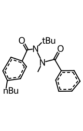 CCCCc1ccc(C(=O)N(N(C)C(=O)c2ccccc2)C(C)(C)C)cc1